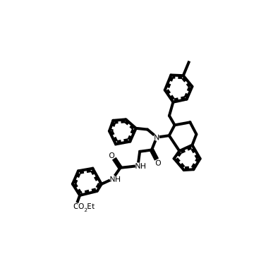 CCOC(=O)c1cccc(NC(=O)NCC(=O)N(Cc2ccccc2)C2c3ccccc3CCC2Cc2ccc(C)cc2)c1